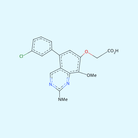 CNc1ncc2c(-c3cccc(Cl)c3)cc(OCC(=O)O)c(OC)c2n1